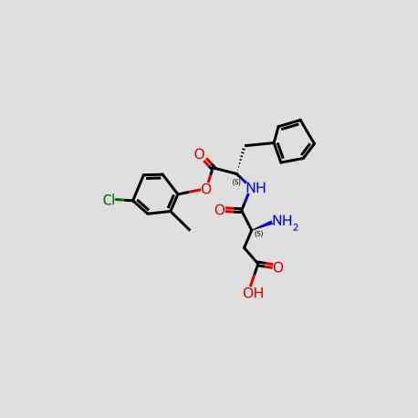 Cc1cc(Cl)ccc1OC(=O)[C@H](Cc1ccccc1)NC(=O)[C@@H](N)CC(=O)O